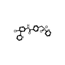 O=C(Nc1ccc(Cl)c(-c2ccccn2)c1)c1ccc(CS(=O)(=O)c2ccccn2)cc1